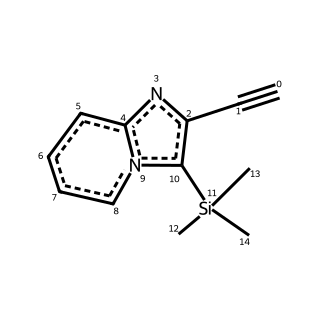 C#Cc1nc2ccccn2c1[Si](C)(C)C